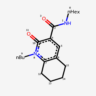 CCCCCCNC(=O)c1cc2c(n(CCCC)c1=O)CCCC2